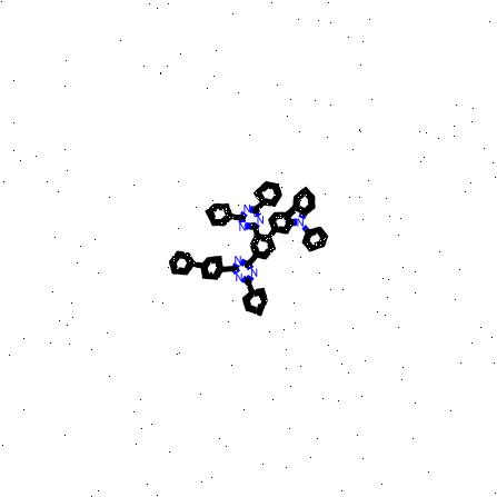 c1ccc(-c2ccc(-c3nc(-c4ccccc4)nc(-c4ccc(-c5ccc6c7ccccc7n(-c7ccccc7)c6c5)c(-c5nc(-c6ccccc6)nc(-c6ccccc6)n5)c4)n3)cc2)cc1